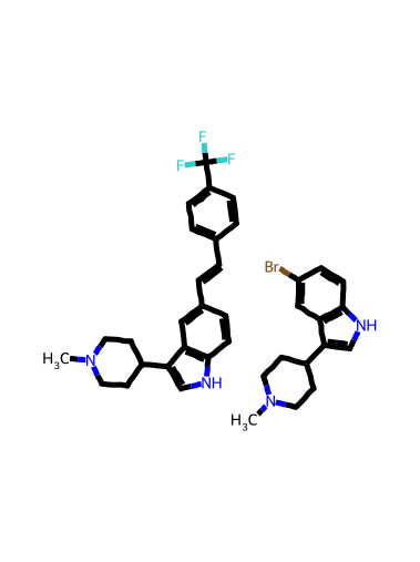 CN1CCC(c2c[nH]c3ccc(Br)cc23)CC1.CN1CCC(c2c[nH]c3ccc(C=Cc4ccc(C(F)(F)F)cc4)cc23)CC1